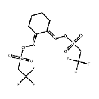 O=S(=O)(CC(F)(F)F)ON=C1CCCCC1=NOS(=O)(=O)CC(F)(F)F